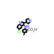 Cc1ccc(Nc2c(-c3ccncc3)cnc3ccc(Cl)cc23)c(C(=O)O)c1